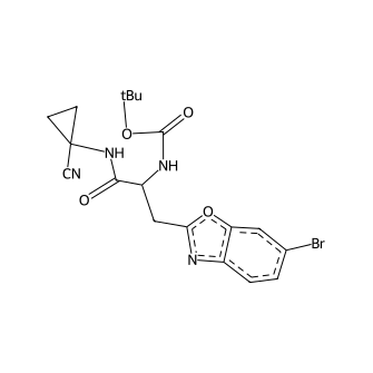 CC(C)(C)OC(=O)NC(Cc1nc2ccc(Br)cc2o1)C(=O)NC1(C#N)CC1